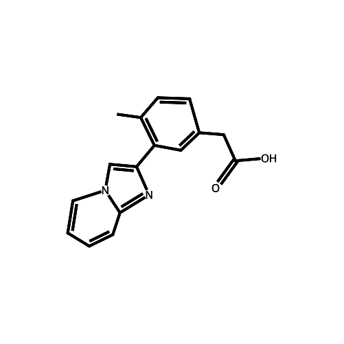 Cc1ccc(CC(=O)O)cc1-c1cn2ccccc2n1